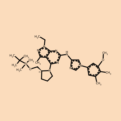 CCn1nc(C)c2c(N3CCC[C@H]3CO[Si](C)(C)C(C)(C)C)nc(Nc3cn(-c4cc(C)c(C)c(OC)c4)cn3)nc21